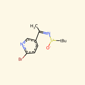 C/C(=N/[S+]([O-])C(C)(C)C)c1ccc(Br)nc1